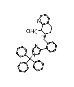 O=CC1/C(=C/c2ccccc2-c2cn(C(c3ccccc3)(c3ccccc3)c3ccccc3)cn2)CCc2cccnc21